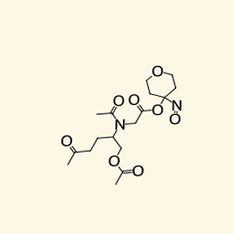 CC(=O)CCC(COC(C)=O)N(CC(=O)OC1(N=O)CCOCC1)C(C)=O